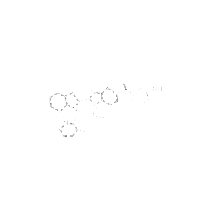 N[C@@H]1CCCN(C(=O)c2cc3c4c(c2)nc(-c2cc5cccc(Cl)c5n2Cc2ncccc2F)n4CCO3)C1